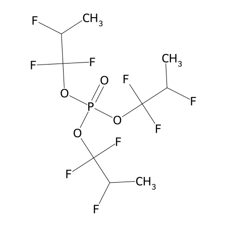 CC(F)C(F)(F)OP(=O)(OC(F)(F)C(C)F)OC(F)(F)C(C)F